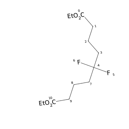 CCOC(=O)CCCC(F)(F)CCCC(=O)OCC